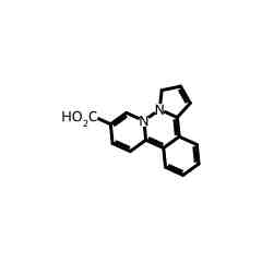 O=C(O)C1=CN2C(=c3ccccc3=C3C=CCN32)C=C1